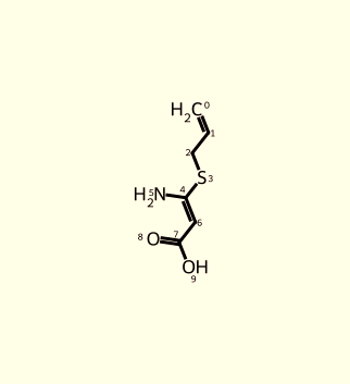 C=CCSC(N)=CC(=O)O